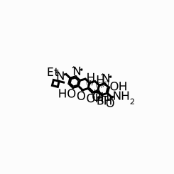 B=C1C(C(N)=O)=C(O)[C@@H](N(C)C)[C@@H]2C[C@@H]3Cc4c(c(O)cc(CN(CC)C5(C)CCC5)c4N(C)C)C(=O)C3=C(O)[C@]12O